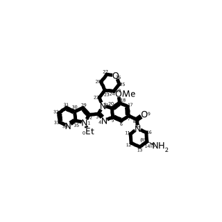 CCn1c(-c2nc3cc(C(=O)N4CCC[C@@H](N)C4)cc(OC)c3n2CC2CCOCC2)cc2cccnc21